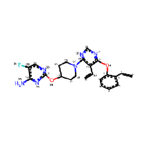 C=Cc1ccccc1Oc1ncnc(N2CCC(Oc3ncc(F)c(N)n3)CC2)c1C=C